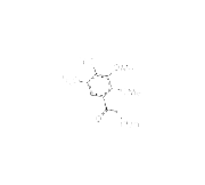 COc1c(C(=O)O[C]=O)cc(C)c(C)c1OC